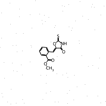 COC(=O)c1ccccc1C=C1OC(=S)NC1=O